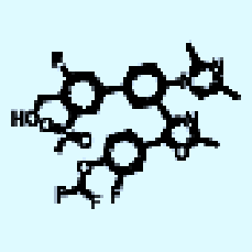 Cc1cn(-c2ccc(-c3cc(F)c(CO)c(S(C)(=O)=O)c3)cc2-c2nc(C)oc2-c2ccc(OC(F)F)c(F)c2)c(C)n1